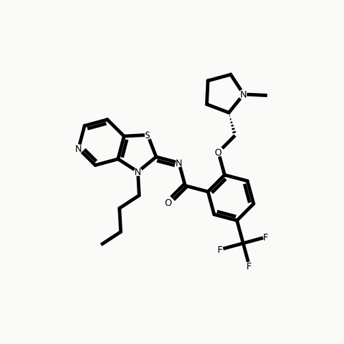 CCCCn1c(=NC(=O)c2cc(C(F)(F)F)ccc2OC[C@@H]2CCCN2C)sc2ccncc21